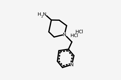 Cl.Cl.NC1CCN(Cc2cccnc2)CC1